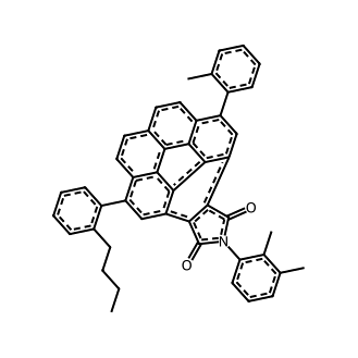 CCCCc1ccccc1-c1cc2c3c(=O)n(-c4cccc(C)c4C)c(=O)c3c3cc(-c4ccccc4C)c4ccc5ccc1c1c5c4c3c21